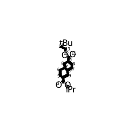 CC(C)OC(=O)c1ccc2cc(C(=O)OCCC(C)(C)C)ccc2c1